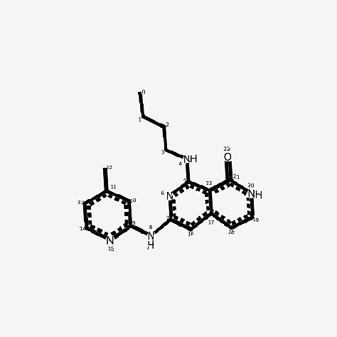 CCCCNc1nc(Nc2cc(C)ccn2)cc2cc[nH]c(=O)c12